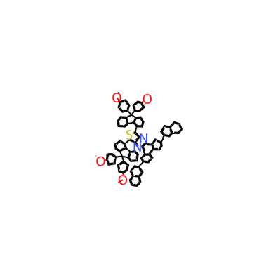 COc1ccc(C2(c3ccc(OC)cc3)c3ccccc3-c3c(-c4sc(-c5cccc6c5-c5ccccc5C6(c5ccc(OC)cc5)c5ccc(OC)cc5)c5nc6c7cc(-c8ccc9ccccc9c8)ccc7c7ccc(-c8ccc9ccccc9c8)cc7c6nc45)cccc32)cc1